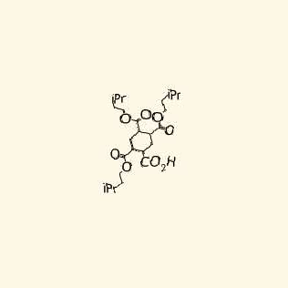 CC(C)CCOC(=O)C1CC(C(=O)OCCC(C)C)C(C(=O)OCCC(C)C)CC1C(=O)O